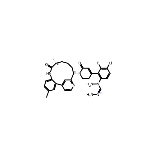 C[C@@H]1CCC[C@H](N2CCC(c3c(N(N)/C=N\N)ccc(Cl)c3F)=CC2=O)c2cc(ccn2)-c2cc(F)ccc2NC1=O